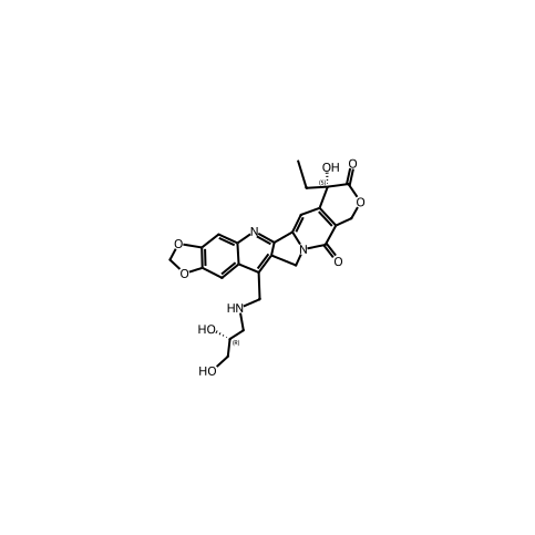 CC[C@@]1(O)C(=O)OCc2c1cc1n(c2=O)Cc2c-1nc1cc3c(cc1c2CNC[C@@H](O)CO)OCO3